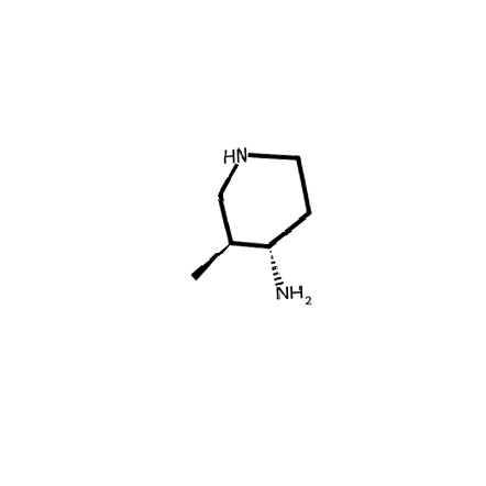 C[C@H]1CNCC[C@@H]1N